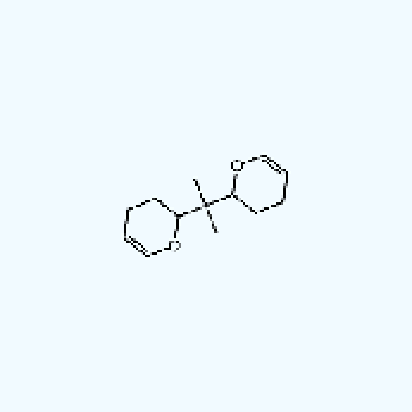 CC(C)(C1CCC=CO1)C1CCC=CO1